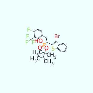 CC(C)C(C)(C)O[P@](=O)(O)C(Cc1ccc(F)c(C(F)(F)F)c1)c1sc2ccccc2c1Br